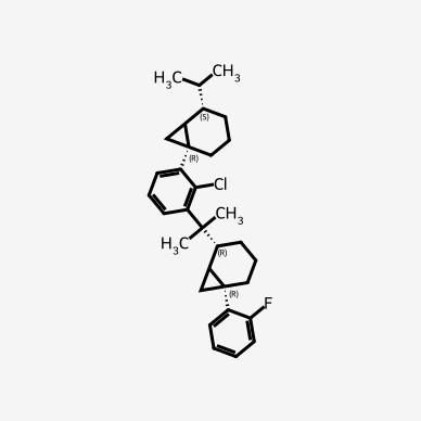 CC(C)[C@@H]1CCC[C@@]2(c3cccc(C(C)(C)[C@@H]4CCC[C@@]5(c6ccccc6F)CC45)c3Cl)CC12